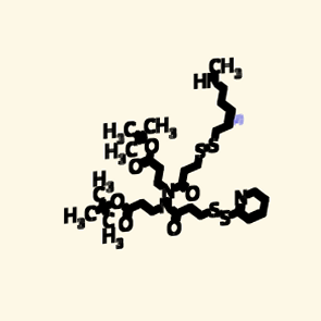 CNCC/C=C\CSSCCC(=O)N(CCC(=O)OC(C)(C)C)N(CCC(=O)OC(C)(C)C)C(=O)CCSSC1=NCCC=C1